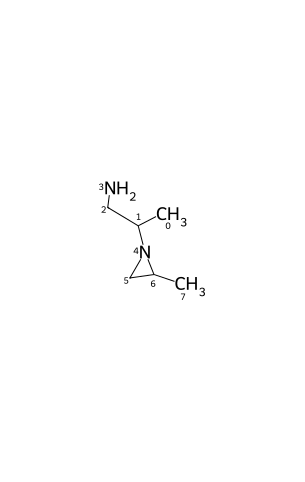 CC(CN)N1CC1C